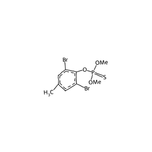 COP(=S)(OC)Oc1c(Br)cc(C)cc1Br